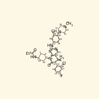 CCC(=O)N[C@H]1CC[C@@H](n2c(=O)c(-c3ccc(F)cc3Cl)c(C)c3cnc(Nc4ccc(N5CCN(C)CC5)c(C)c4)nc32)CC1